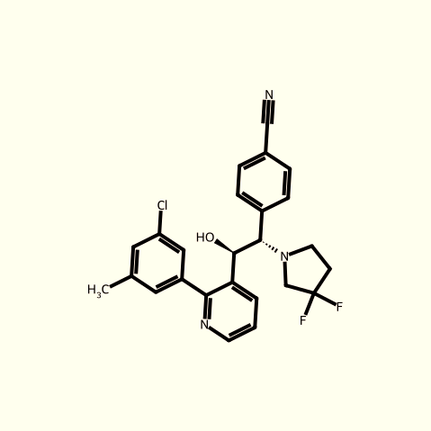 Cc1cc(Cl)cc(-c2ncccc2[C@@H](O)[C@H](c2ccc(C#N)cc2)N2CCC(F)(F)C2)c1